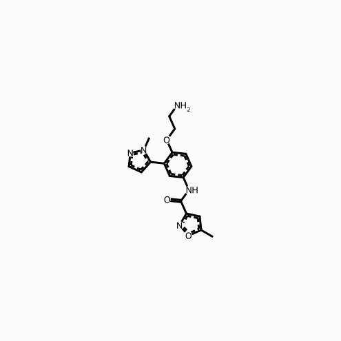 Cc1cc(C(=O)Nc2ccc(OCCN)c(-c3ccnn3C)c2)no1